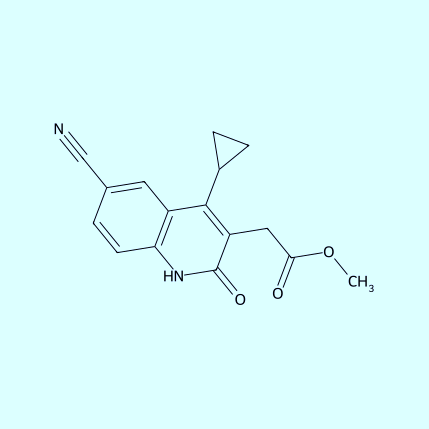 COC(=O)Cc1c(C2CC2)c2cc(C#N)ccc2[nH]c1=O